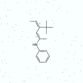 C/C=C(\C=C(/C)Nc1ccccc1)C(C)(C)C